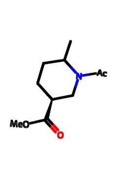 COC(=O)[C@H]1CCC(C)N(C(C)=O)C1